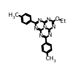 CCOC1=NC2=NC(c3ccc(C)cc3)=NC3=NC(c4ccc(C)cc4)=NC(=N1)N23